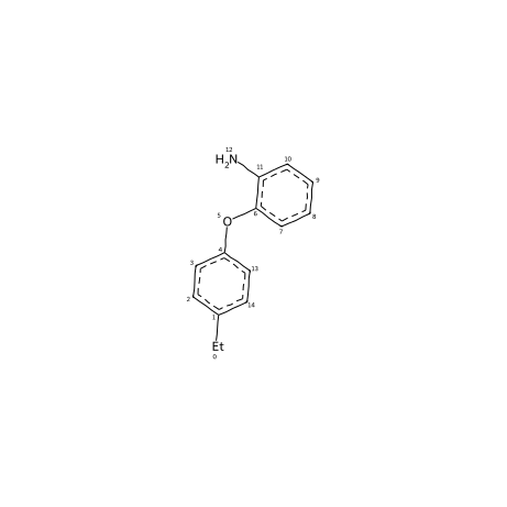 CCc1ccc(Oc2ccccc2N)cc1